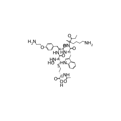 CCC(=O)[C@](C)(CCCCN)NC(=O)[C@H](Cc1c[nH]c2ccccc12)NC(=O)[C@H](Cc1ccc(OCCN)cc1)NC(=O)[C@H](CSCC[C@H](NC(C)=O)C(=O)O)NO